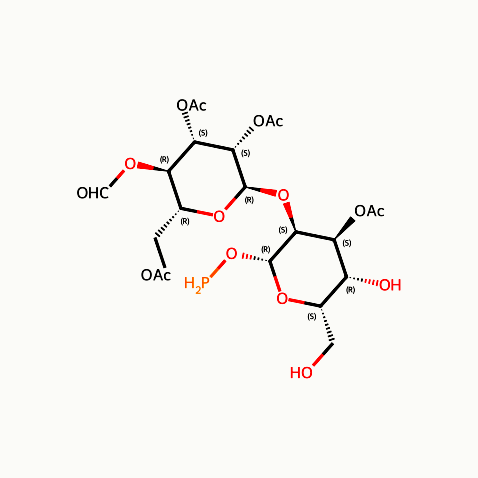 CC(=O)OC[C@H]1O[C@H](O[C@@H]2[C@@H](OP)O[C@@H](CO)[C@@H](O)[C@@H]2OC(C)=O)[C@@H](OC(C)=O)[C@@H](OC(C)=O)[C@@H]1OC=O